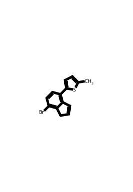 Cc1ccc(-c2ccc(Br)c3c2C=CC3)s1